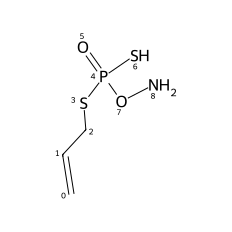 C=CCSP(=O)(S)ON